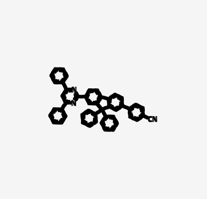 N#Cc1ccc(-c2ccc3c(c2)C(c2ccccc2)(c2ccccc2)c2cc(-c4nc(-c5ccccc5)cc(-c5ccccc5)n4)ccc2-3)cc1